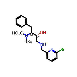 CC(C)(C)N(C(=O)O)[C@@H](Cc1ccccc1)[C@H](O)CNCc1cccc(Br)n1